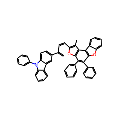 C=C(/C=C\c1oc2c(-c3ccccc3)c(-c3ccccc3)c3oc4ccccc4c3c2c1C)c1ccc2c(c1)c1ccccc1n2-c1ccccc1